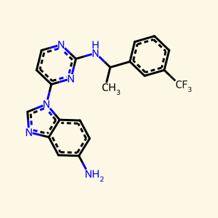 CC(Nc1nccc(-n2cnc3cc(N)ccc32)n1)c1cccc(C(F)(F)F)c1